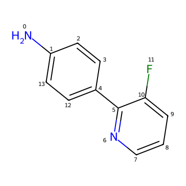 Nc1ccc(-c2ncccc2F)cc1